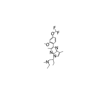 CCC(CN(C)CC)n1cc(C)c2nc(-c3ccc(OC(F)F)cc3OC)c(C)nc21